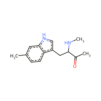 CNC(Cc1c[nH]c2cc(C)ccc12)C(C)=O